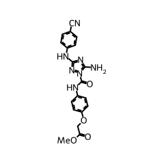 COC(=O)COc1ccc(NC(=O)n2nc(Nc3ccc(C#N)cc3)nc2N)cc1